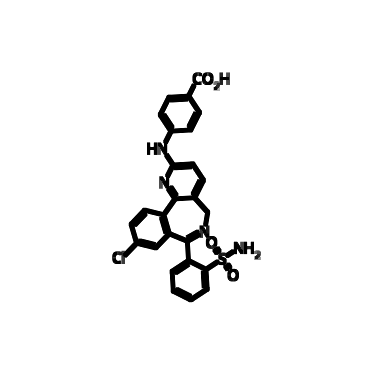 NS(=O)(=O)c1ccccc1C1=NCc2ccc(Nc3ccc(C(=O)O)cc3)nc2-c2ccc(Cl)cc21